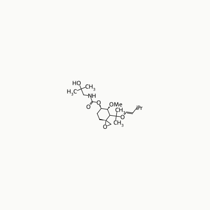 CO[C@H]1C(C(C)(C)O/C=C/C(C)C)[C@]2(CC[C@H]1OC(=O)NCC(C)(C)O)CO2